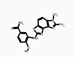 Cc1nc2c3nc(Nc4cc(C(N)=O)ccc4OC(C)C)sc3ccc2n1C